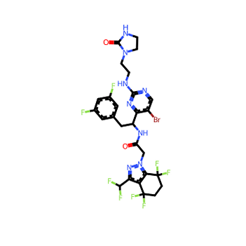 O=C(Cn1nc(C(F)F)c2c1C(F)(F)CCC2(F)F)NC(Cc1cc(F)cc(F)c1)c1nc(NCCN2CCNC2=O)ncc1Br